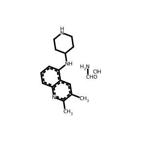 Cc1cc2c(NC3CCNCC3)cccc2nc1C.Cl.NC=O